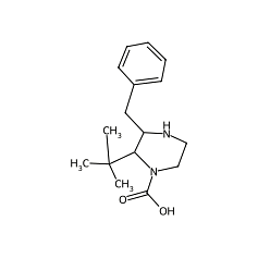 CC(C)(C)C1C(Cc2ccccc2)NCCN1C(=O)O